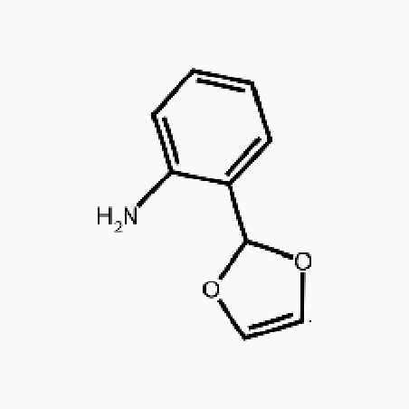 Nc1ccccc1C1O[C]=CO1